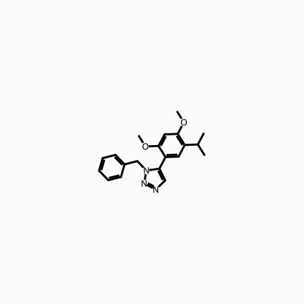 COc1cc(OC)c(C(C)C)cc1-c1cnnn1Cc1ccccc1